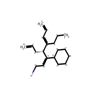 C=C/C=C(\CCC)[C@@H](CC=C)/C(=C\CI)C1CCCCC1